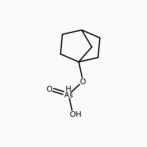 O=[AsH](O)OC12CCC(CC1)C2